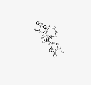 C[C@@H]1C[C@]2(CCCCN3[C@H]2CC[C@H]3[C@@H]2C[C@H](C)C(=O)O2)OC1=O